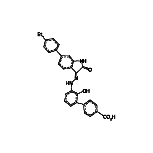 CCc1ccc(-c2ccc3c(c2)NC(=O)C3=NNc2cccc(-c3ccc(C(=O)O)cc3)c2O)cc1